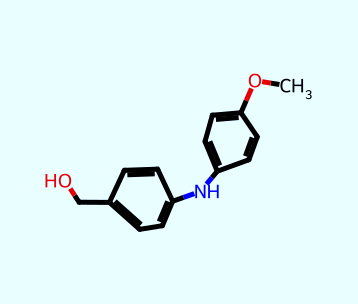 COc1ccc(Nc2ccc(CO)cc2)cc1